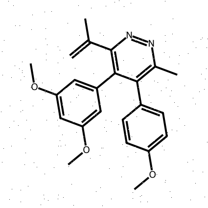 C=C(C)c1nnc(C)c(-c2ccc(OC)cc2)c1-c1cc(OC)cc(OC)c1